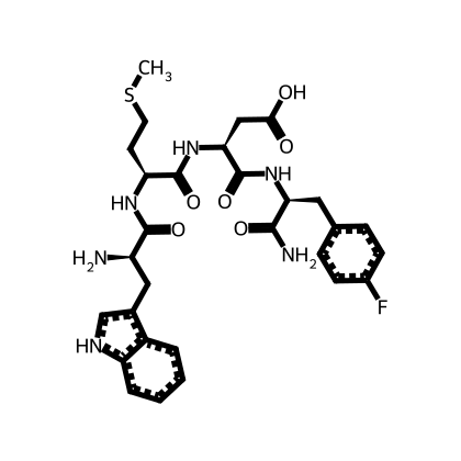 CSCC[C@H](NC(=O)[C@H](N)Cc1c[nH]c2ccccc12)C(=O)N[C@@H](CC(=O)O)C(=O)N[C@@H](Cc1ccc(F)cc1)C(N)=O